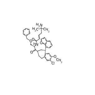 COc1cc2c(cc1Cl)CCC(C(=O)[C@@H](COCc1ccccc1)NC(=O)/C=C/CC(C)(C)N)CC2c1cccc2ccoc12